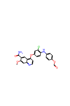 COc1cc2nccc(Oc3ccc(Nc4ccc(OC=O)cc4)c(Cl)c3)c2cc1C(N)=O